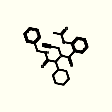 C#CCN(C(=O)c1ccccc1OC(C)=O)C(C(=O)NCc1ccccc1)C1CCCCC1